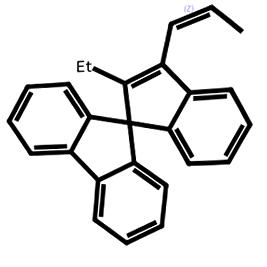 C/C=C\C1=C(CC)C2(c3ccccc31)c1ccccc1-c1ccccc12